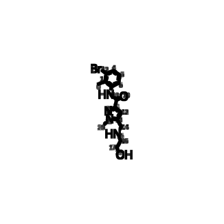 Cc1c(Br)cccc1NC(=O)c1cc(CNCCO)n(C)n1